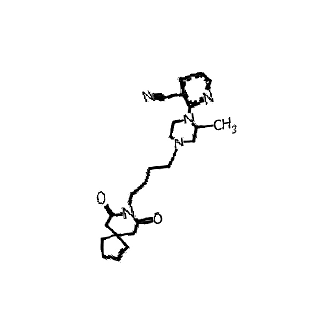 CC1CN(CCCCN2C(=O)CC3(CCCC3)CC2=O)CCN1c1ncccc1C#N